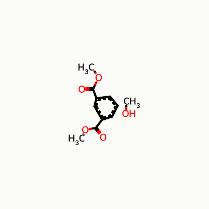 CO.COC(=O)c1cccc(C(=O)OC)c1